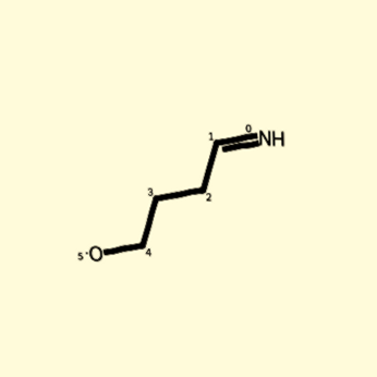 N=CCCC[O]